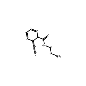 [N-]=[N+]=C1C=CC=CC1C(=O)NCCN